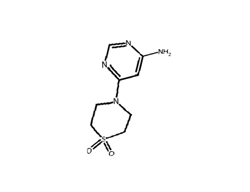 Nc1cc(N2CCS(=O)(=O)CC2)ncn1